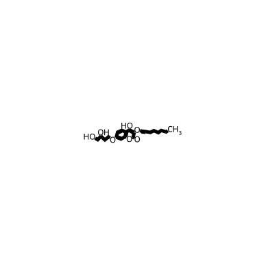 CCCCCC/C=C/Oc1c(O)c2ccc(OCCC(O)CO)cc2oc1=O